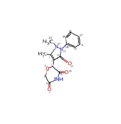 Cc1c(C2OCC(=O)NC2=O)c(=O)n(-c2ccccc2)n1C